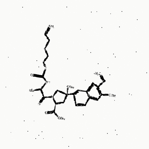 C=CCCCCOC(=O)NC(C(=O)N1C[C@](OC)(c2ccc3cc(OC)c(C=C)cc3c2)C[C@H]1C(=O)OC)C(C)(C)C